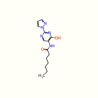 CCCCCCC(=O)Nc1cnc(-n2cccn2)nc1O